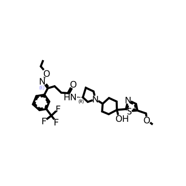 CCO/N=C(\CCC(=O)N[C@@H]1CCN(C2CCC(O)(c3ncc(COC)s3)CC2)C1)c1cccc(C(F)(F)F)c1